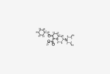 C=CCN(CC=C)C1CCc2c(ccc(OCc3ccccc3)c2C(=O)OC)C1